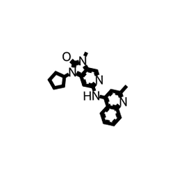 Cc1cc(Nc2cc3c(cn2)n(C)c(=O)n3C2CCCC2)c2ccccc2n1